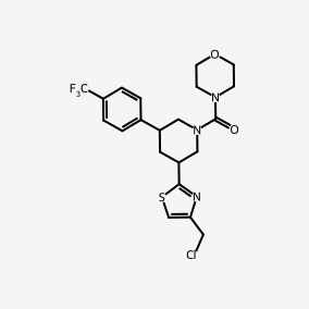 O=C(N1CCOCC1)N1CC(c2ccc(C(F)(F)F)cc2)CC(c2nc(CCl)cs2)C1